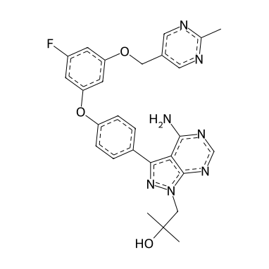 Cc1ncc(COc2cc(F)cc(Oc3ccc(-c4nn(CC(C)(C)O)c5ncnc(N)c45)cc3)c2)cn1